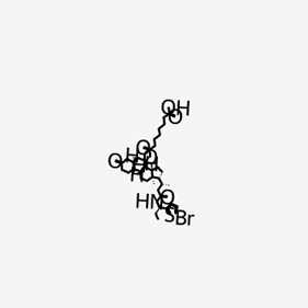 CC[C@@H](NC(=O)C[C@@H](C)[C@H]1CC[C@H]2[C@@H]3[C@H](OC(=O)CCCCCCC(=O)O)C[C@@H]4CC(=O)CC[C@]4(C)[C@H]3CC[C@]12C)c1ccc(Br)s1